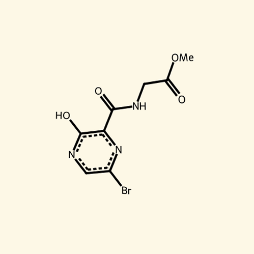 COC(=O)CNC(=O)c1nc(Br)cnc1O